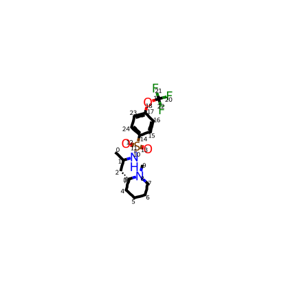 CC(C[C@H]1CCCCN1C)NS(=O)(=O)c1ccc(OC(F)(F)F)cc1